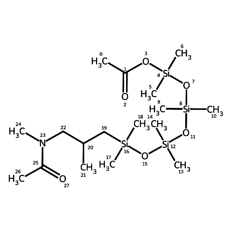 CC(=O)O[Si](C)(C)O[Si](C)(C)O[Si](C)(C)O[Si](C)(C)CC(C)CN(C)C(C)=O